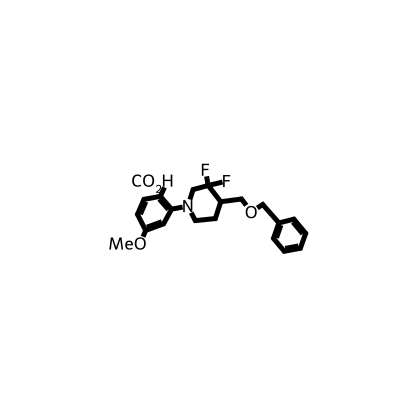 COc1ccc(C(=O)O)c(N2CCC(COCc3ccccc3)C(F)(F)C2)c1